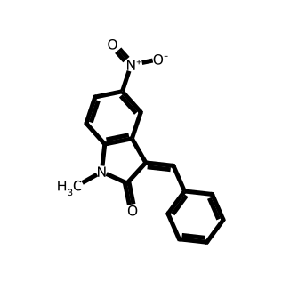 CN1C(=O)C(=Cc2ccccc2)c2cc([N+](=O)[O-])ccc21